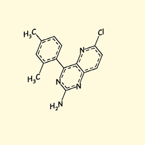 Cc1ccc(-c2nc(N)nc3ccc(Cl)nc23)c(C)c1